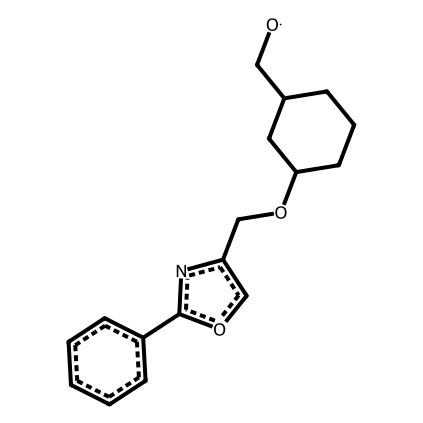 [O]CC1CCCC(OCc2coc(-c3ccccc3)n2)C1